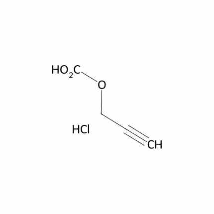 C#CCOC(=O)O.Cl